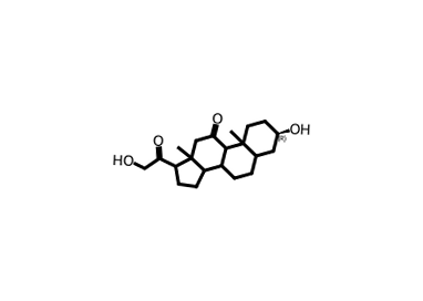 CC12CC(=O)C3C(CCC4C[C@H](O)CCC43C)C1CCC2C(=O)CO